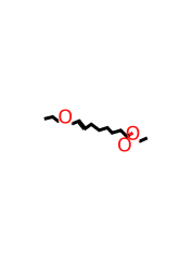 CCCOCC=CCCCCCC(=O)OCC